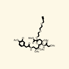 C#CCOCCOCCO[C@]1(C(=O)OC)C[C@H](OC(C)=O)[C@@H](NC(=O)COC(C)=O)[C@H]([C@H](OC(C)=O)[C@@H](CNC(=O)Cc2ccc(OC(C)=O)c(Cl)c2)OC(C)=O)O1